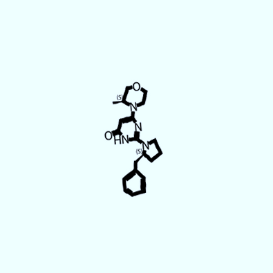 C[C@H]1COCCN1c1cc(=O)[nH]c(N2CCC[C@H]2Cc2ccccc2)n1